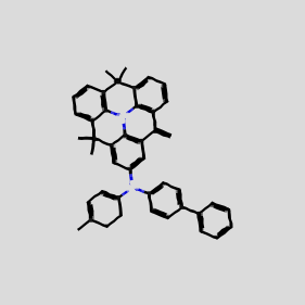 C=C1c2cccc3c2N2c4c1cc(N(C1=CC=C(C)CC1)c1ccc(-c5ccccc5)cc1)cc4C(C)(C)c1cccc(c12)C3(C)C